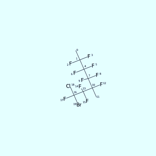 CC(F)(F)C(F)(F)C(F)(F)C(C)(F)C(F)(F)C(F)(Cl)Br